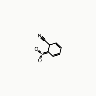 N#CC1C=CC=CC1=S(=O)=O